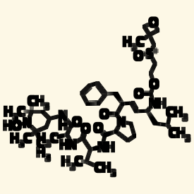 CC(C)C[C@@H](/C=C/[C@H](Cc1ccccc1)C(=O)N1CCC[C@H]1C(=O)N[C@H](C(=O)N[C@@H](C)C(=O)NC1CC(C)(C)N(O)C(C)(C)C1)C(C)C)NC(=O)OCC[S+]([O-])CC1(C)COC1